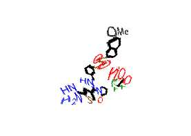 COc1ccc2ccc(S(=O)(=O)c3cccc(CNC(c4csc(C(=N)N)c4)N4CCCC4=O)c3)cc2c1.O=C(O)C(F)(F)F